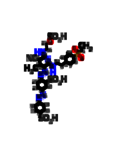 C=CS(=O)(=O)c1ccc(CCNc2nc(NCCOS(=O)(=O)O)c(C#N)c(C)c2/N=N/c2ccc(/N=N/c3ccc(S(=O)(=O)O)cc3)cc2S(=O)(=O)O)cc1